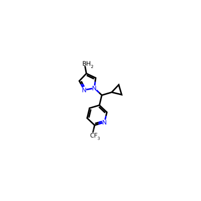 Bc1cnn(C(c2ccc(C(F)(F)F)nc2)C2CC2)c1